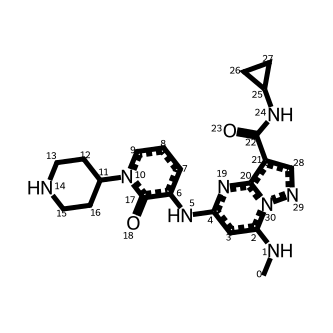 CNc1cc(Nc2cccn(C3CCNCC3)c2=O)nc2c(C(=O)NC3CC3)cnn12